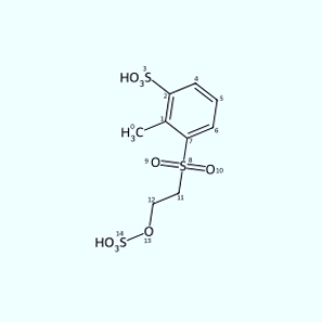 Cc1c(S(=O)(=O)O)cccc1S(=O)(=O)CCOS(=O)(=O)O